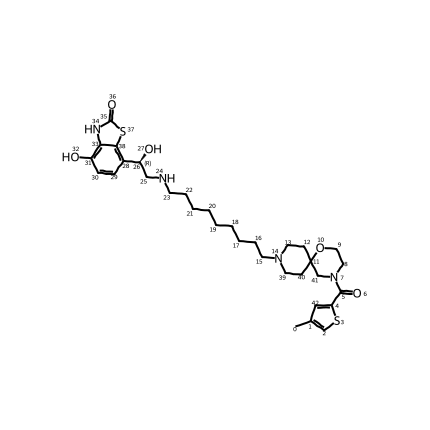 Cc1csc(C(=O)N2CCOC3(CCN(CCCCCCCCCNC[C@H](O)c4ccc(O)c5[nH]c(=O)sc45)CC3)C2)c1